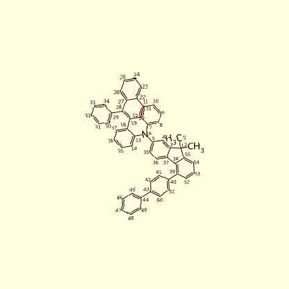 CC1(C)c2cc(N(c3ccccc3)c3ccccc3-c3ccc4ccccc4c3-c3ccccc3)ccc2-c2c(-c3ccc(-c4ccccc4)cc3)cccc21